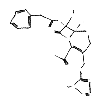 CO[C@@]1(NC(=O)Cc2ccccc2)C(=O)N2C(C(=O)O)=C(CSc3nnnn3C)CS[C@H]21